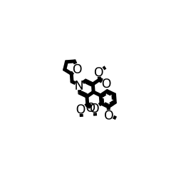 COC(=O)C1=CN(CC2CCCO2)C=C(C(=O)OC)C1c1cccc(OC)c1OC